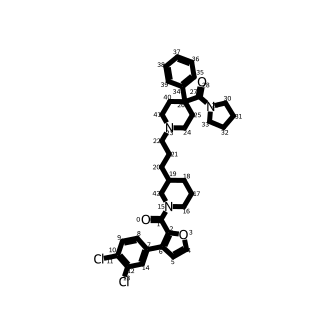 O=C(c1occc1-c1ccc(Cl)c(Cl)c1)N1CCCC(CCCN2CCC(C(=O)N3CCCC3)(c3ccccc3)CC2)C1